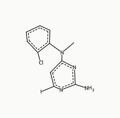 CN(c1cc(I)nc(N)n1)c1ccccc1Cl